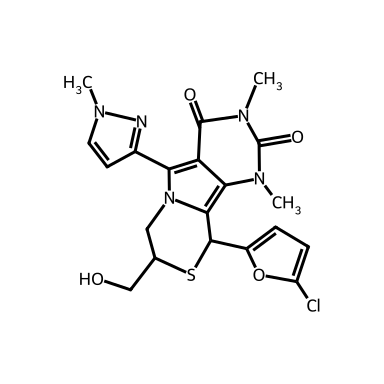 Cn1ccc(-c2c3c(=O)n(C)c(=O)n(C)c3c3n2CC(CO)SC3c2ccc(Cl)o2)n1